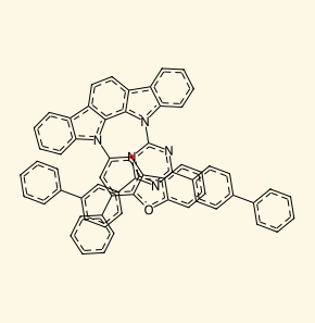 c1ccc(-c2ccc(-c3nc(-c4cccc(-c5ccccc5)c4)nc(-n4c5ccccc5c5ccc6c7ccccc7n(-c7cc(-c8ccccc8)c8oc9ccccc9c8c7)c6c54)n3)cc2)cc1